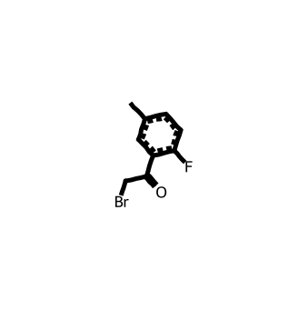 Cc1ccc(F)c(C(=O)CBr)c1